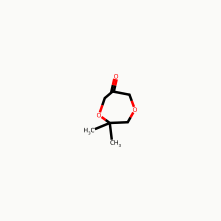 CC1(C)COCC(=O)CO1